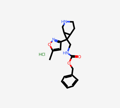 Cc1cc(C2(CNC(=O)OCc3ccccc3)C3CCNCC32)no1.Cl